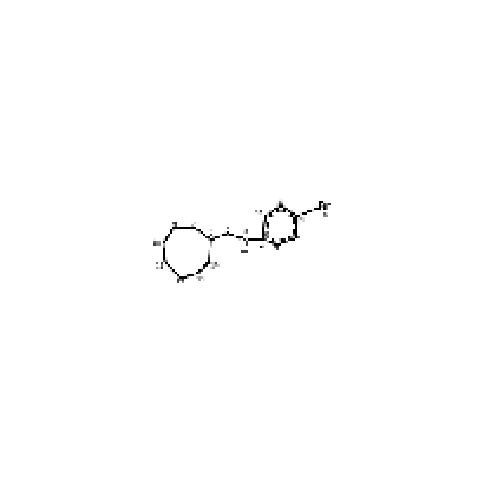 Brc1ccc(NCC2CCCCCCC2)cc1